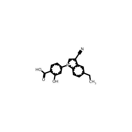 CCc1ccc2c(c1)c(C#N)cn2-c1ccc(C(=O)O)c(O)c1